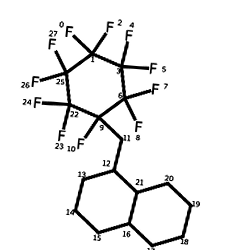 FC1(F)C(F)(F)C(F)(F)C(F)(CC2CCCC3CCCCC32)C(F)(F)C1(F)F